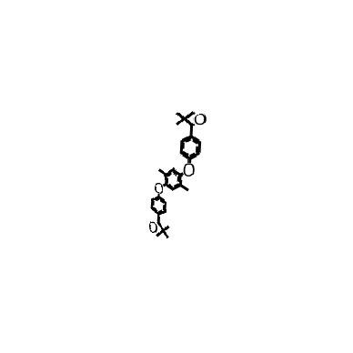 Cc1cc(Oc2ccc(C3OCC3(C)C)cc2)c(C)cc1Oc1ccc(C2OCC2(C)C)cc1